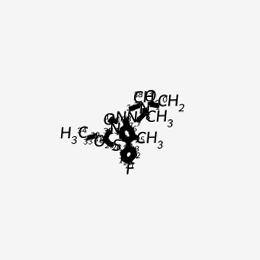 C=CC(=O)N1[C@H](C)CN(c2nc(=O)n3c4c(c(-c5ccc(F)cc5)c(C)cc24)SC[C@H](OCCC)C3)C[C@@H]1C